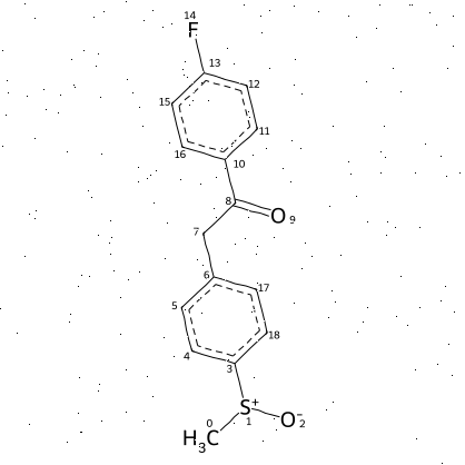 C[S+]([O-])c1ccc(CC(=O)c2ccc(F)cc2)cc1